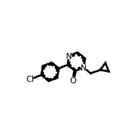 O=c1c(-c2ccc(Cl)cc2)nccn1CC1CC1